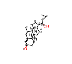 C[C@@H]1CC2=CC(=O)CC[C@@H]2[C@H]2CC[C@@]3(C)[C@H](CC[C@H]3[C@@H](O)C3CC3)[C@@H]21